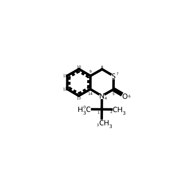 CC(C)(C)N1C(=O)SCc2ccccc21